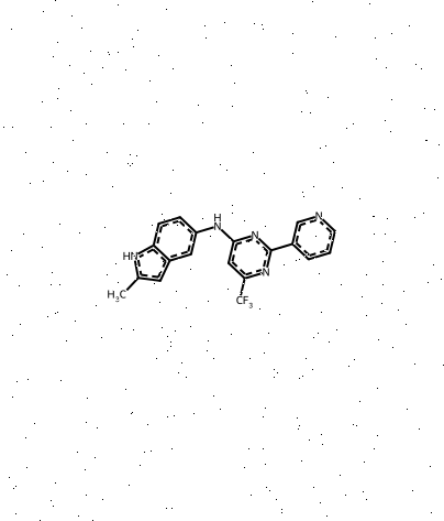 Cc1cc2cc(Nc3cc(C(F)(F)F)nc(-c4cccnc4)n3)ccc2[nH]1